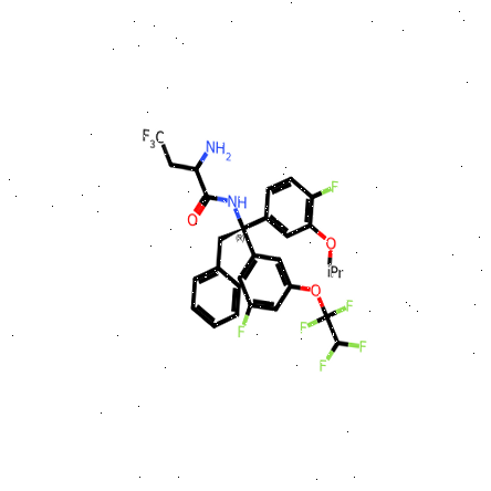 CC(C)Oc1cc([C@@](Cc2ccccc2)(NC(=O)C(N)CC(F)(F)F)c2cc(F)cc(OC(F)(F)C(F)F)c2)ccc1F